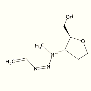 C=C/N=N\N(C)[C@H]1CCO[C@@H]1CO